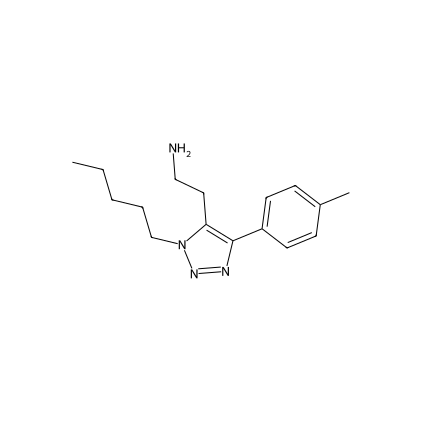 CCCCCn1nnc(-c2ccc(C)cc2)c1CCN